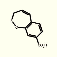 O=C(O)c1ccc2c(c1)OSCC=C2